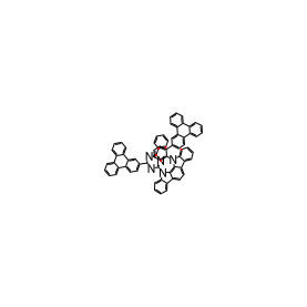 c1ccc(-c2nc(-c3ccc4c5ccccc5c5ccccc5c4c3)nc(-n3c4ccccc4c4ccc5c6ccccc6n(-c6ccccc6-c6ccc7c8ccccc8c8ccccc8c7c6)c5c43)n2)cc1